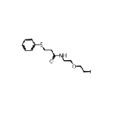 O=C(CCSc1ccccc1)NCCOCCI